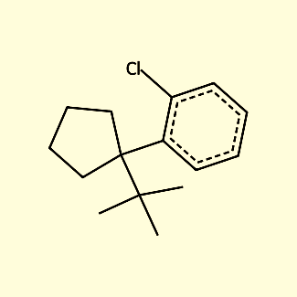 CC(C)(C)C1(c2ccccc2Cl)CCCC1